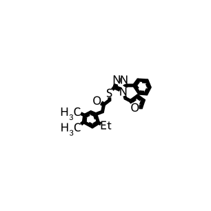 CCc1cc(C)c(C)cc1CC(=O)CSc1nnc(-c2ccccc2)n1Cc1ccco1